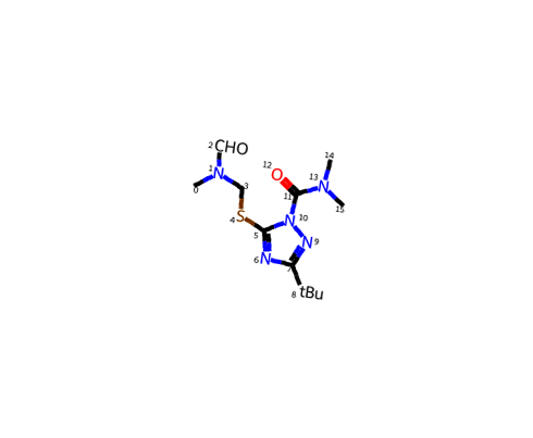 CN(C=O)CSc1nc(C(C)(C)C)nn1C(=O)N(C)C